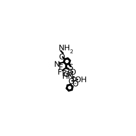 N#Cc1c(OCCN)ccc2sc(S(=O)(=O)NCP(=O)(O)Oc3ccccc3)c(C(F)(F)F)c12